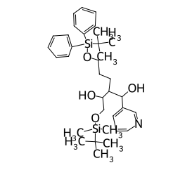 CC(C)(C)[Si](C)(C)OCC(O)C(CCCO[Si](c1ccccc1)(c1ccccc1)C(C)(C)C)C(O)c1cccnc1